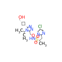 CC(C)n1c(CONS(=O)(=O)C(C)Cc2ncc(Cl)cn2)nnc1[C@H]1C[C@@H](CO)C1